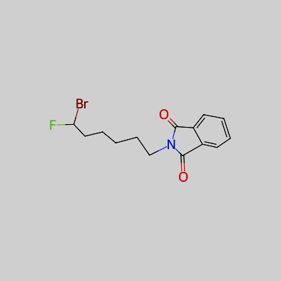 O=C1c2ccccc2C(=O)N1CCCCCC(F)Br